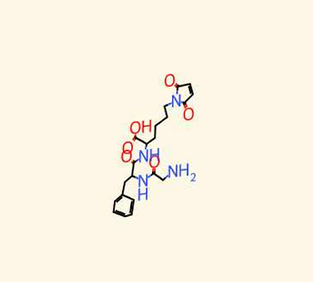 NCC(=O)NC(Cc1ccccc1)C(=O)NC(CCCCN1C(=O)C=CC1=O)C(=O)O